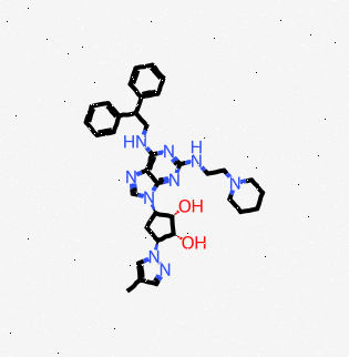 Cc1cnn([C@H]2C[C@@H](n3cnc4c(NCC(c5ccccc5)c5ccccc5)nc(NCCN5CCCCC5)nc43)[C@H](O)[C@@H]2O)c1